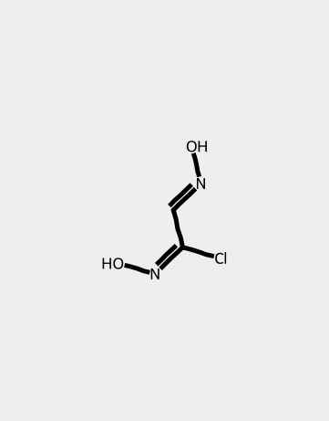 O/N=C/C(Cl)=N\O